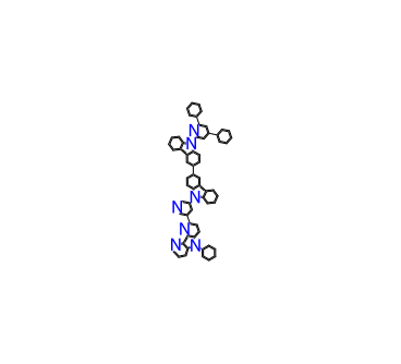 c1ccc(-c2cc(-c3ccccc3)nc(-n3c4ccccc4c4cc(-c5ccc6c(c5)c5ccccc5n6-c5cncc(-c6ccc7c(n6)c6ncccc6n7-c6ccccc6)c5)ccc43)c2)cc1